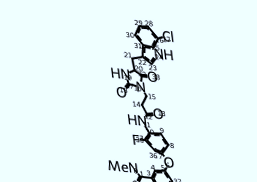 CNC(=O)c1cc(Oc2ccc(NC(=O)CCN3C(=O)NC(Cc4c[nH]c5c(Cl)cccc45)C3=O)c(F)c2)ccn1